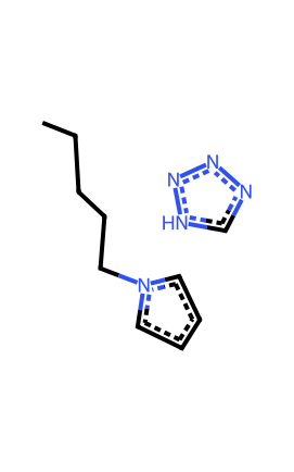 CCCCCn1cccc1.c1nnn[nH]1